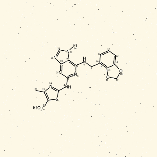 CCOC(=O)c1sc(Nc2nc(NCc3cccc4c3OCO4)c3c(ncn3CC)n2)nc1C